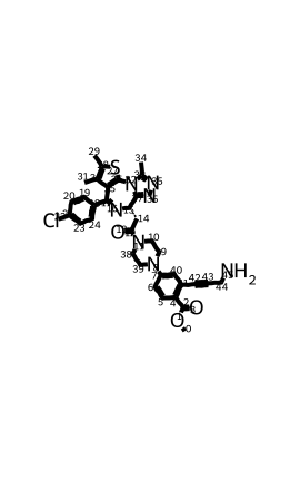 COC(=O)c1ccc(N2CCN(C(=O)C[C@@H]3N=C(c4ccc(Cl)cc4)c4c(sc(C)c4C)-n4c(C)nnc43)CC2)cc1C#CCN